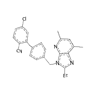 CCc1nc2c(C)cc(C)nc2n1Cc1ccc(-c2cc(Cl)ccc2C#N)cc1